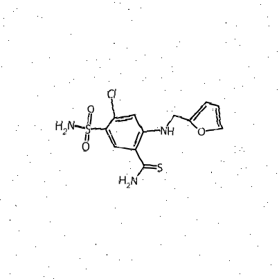 NC(=S)c1cc(S(N)(=O)=O)c(Cl)cc1NCc1ccco1